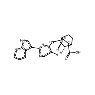 O=C(O)[C@@H]1C2CCC(CC2)[C@H]1Nc1nc(-c2c[nH]c3ncccc23)ncc1F